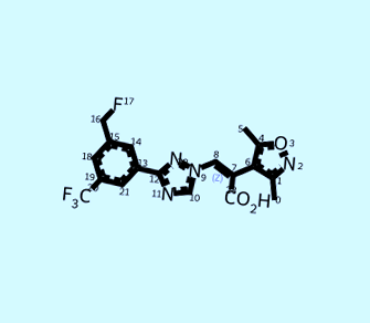 Cc1noc(C)c1/C(=C/n1cnc(-c2cc(CF)cc(C(F)(F)F)c2)n1)C(=O)O